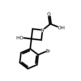 O=C(O)N1CC(O)(c2ccccc2Br)C1